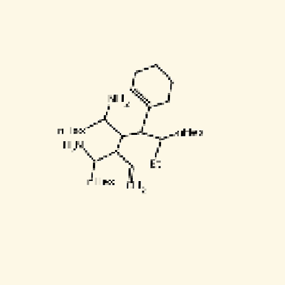 C=CC(C(N)CCCCCC)C(C(N)CCCCCC)C(C1=CCCCC1)C(CC)CCCCCC